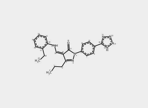 CCCC1=NN(c2ccc(-c3nnn[nH]3)cc2)C(=O)C1=CNc1ccccc1CC